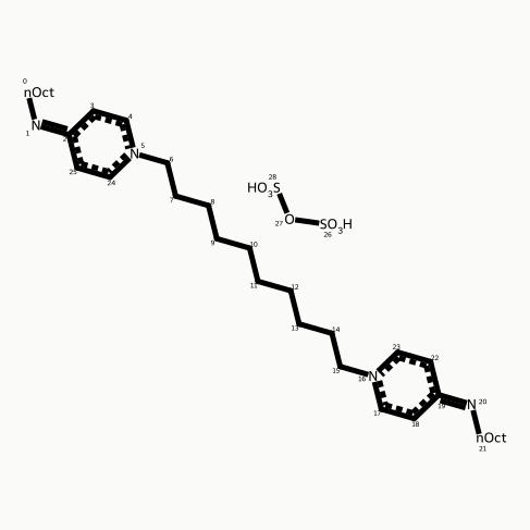 CCCCCCCCN=c1ccn(CCCCCCCCCCn2ccc(=NCCCCCCCC)cc2)cc1.O=S(=O)(O)OS(=O)(=O)O